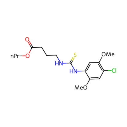 CCCOC(=O)CCCNC(=S)Nc1cc(OC)c(Cl)cc1OC